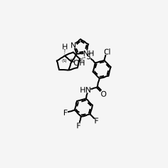 O=C(Nc1cc(F)c(F)c(F)c1)c1ccc(Cl)c(S[C@@H]2CC3CC[C@@H](C2)[C@@]3(O)c2ncc[nH]2)c1